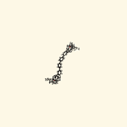 CC(C)(C)OC(=O)N1C(c2nc3ccc(-c4ccc(-c5ccc(-c6ccc7nc([C@@H]8[C@H]9CC[C@H](C9)N8C(=O)OC(C)(C)C)[nH]c7c6)cc5)cc4)cc3[nH]2)[C@H]2CC[C@@H]1C2